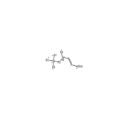 CCCCCCCCC=C[SiH](CC)O[Si](CC)(CC)CC